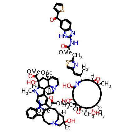 C/C(=C\c1csc(C)n1)[C@@H]1C[C@@H]2O[C@]2(C)CCC[C@H](C)[C@H](O)[C@@H](C)C(=O)C(C)(C)[C@@H](O)CC(O)=N1.CC[C@]1(O)C[C@H]2CN(CCc3c([nH]c4ccccc34)[C@@](C(=O)OC)(c3cc4c(cc3OC)N(C)[C@H]3[C@@](O)(C(=O)OC)[C@H](OC(C)=O)[C@]5(CC)C=CCN6CC[C@]43[C@@H]65)C2)C1.COC(=O)Nc1nc2ccc(C(=O)c3cccs3)cc2[nH]1